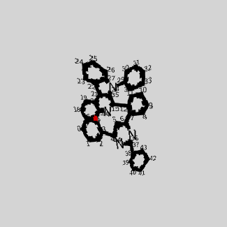 c1ccc(-c2cc(-c3ccccc3-c3nc4ccccc4c4c5ccccc5n(-c5ccccc5)c34)nc(-c3ccccc3)n2)cc1